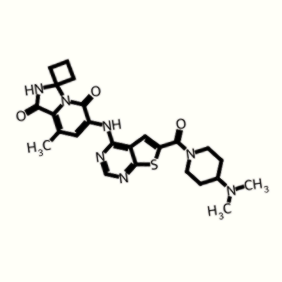 Cc1cc(Nc2ncnc3sc(C(=O)N4CCC(N(C)C)CC4)cc23)c(=O)n2c1C(=O)NC21CCC1